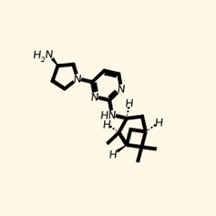 C[C@H]1[C@@H](Nc2nccc(N3CC[C@@H](N)C3)n2)C[C@@H]2C[C@@H]1C2(C)C